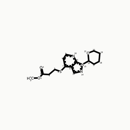 COC(=O)CCSc1ccnc2c1cnn2C1CCCCO1